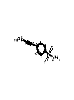 CCCC#Cc1ccc(S(N)(=O)=O)cc1